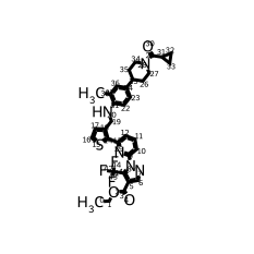 CCOC(=O)c1cnn(-c2cccc(-c3sccc3CNc3ccc(C4CCN(C(=O)C5CC5)CC4)cc3C)n2)c1C(F)(F)F